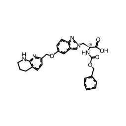 O=C(N[C@@H](Cn1cc2cc(OCc3ccc4c(n3)NCCC4)ccc2n1)C(=O)O)OCc1ccccc1